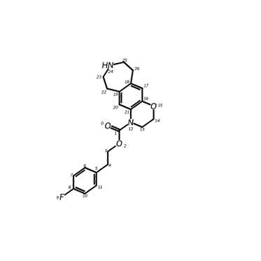 O=C(OCCc1ccc(F)cc1)N1CCOc2cc3c(cc21)CCNCC3